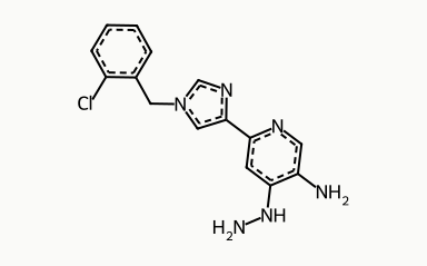 NNc1cc(-c2cn(Cc3ccccc3Cl)cn2)ncc1N